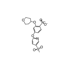 CS(=O)(=O)c1ccc(Oc2ccc([N+](=O)[O-])c(OC3CCOCC3)c2)nc1